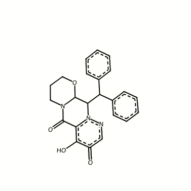 O=C1c2c(O)c(=O)cnn2C(C(c2ccccc2)c2ccccc2)C2OCCCN12